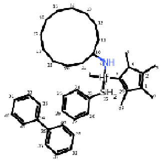 CC1=C(C)C(C)[C]([Hf]([CH3])([NH]C2CCCCCCCCCCC2)[SiH2]c2ccccc2)=C1C.c1ccc(-c2ccccc2)cc1